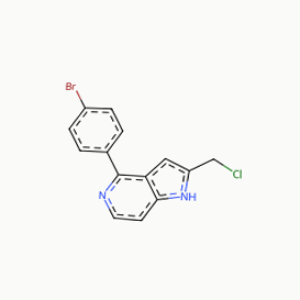 ClCc1cc2c(-c3ccc(Br)cc3)nccc2[nH]1